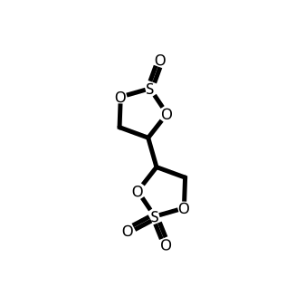 O=S1OCC(C2COS(=O)(=O)O2)O1